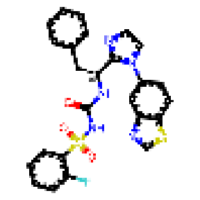 O=C(N[C@@H](Cc1ccccc1)c1nccn1-c1ccc2scnc2c1)NS(=O)(=O)c1ccccc1F